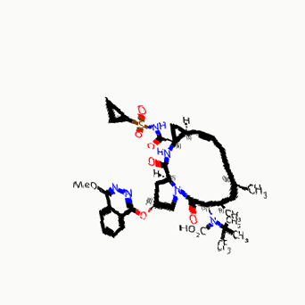 COc1nnc(O[C@@H]2C[C@H]3C(=O)N[C@]4(C(=O)NS(=O)(=O)C5CC5)C[C@H]4C=CCC[C@@H](C)C[C@@H](C)[C@H](N(C(=O)O)C(C)(C)C(F)(F)F)C(=O)N3C2)c2ccccc12